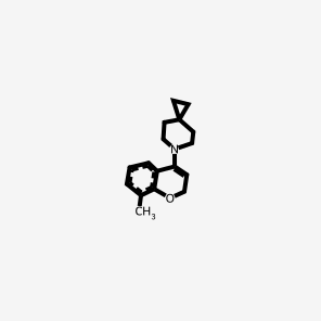 Cc1cccc2c1OCC=C2N1CCC2(CC1)CC2